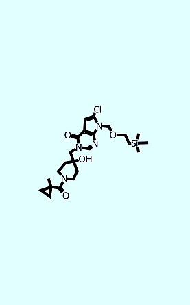 CC1(C(=O)N2CCC(O)(Cn3cnc4c(cc(Cl)n4COCC[Si](C)(C)C)c3=O)CC2)CC1